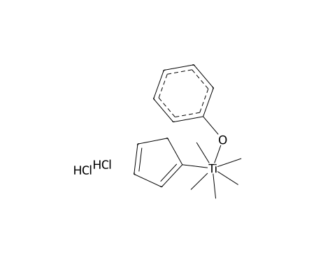 Cl.Cl.[CH3][Ti]([CH3])([CH3])([CH3])([CH3])([O]c1ccccc1)[C]1=CC=CC1